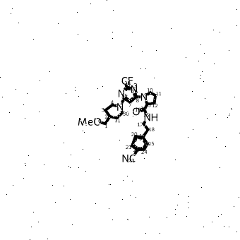 COCC1CCN(c2cc(N3CCCC3C(=O)NCCc3ccc(C#N)cc3)nc(C(F)(F)F)n2)CC1